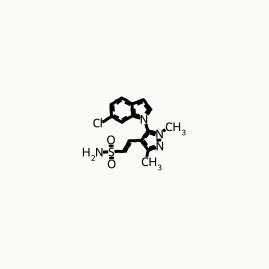 Cc1nn(C)c(-n2ccc3ccc(Cl)cc32)c1C=CS(N)(=O)=O